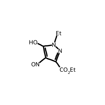 CCOC(=O)c1nn(CC)c(O)c1N=O